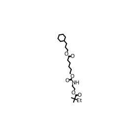 CCC(C)(C)C(=O)OCCNC(=O)OCCCCCC(=O)OCCCC1CCCCC1